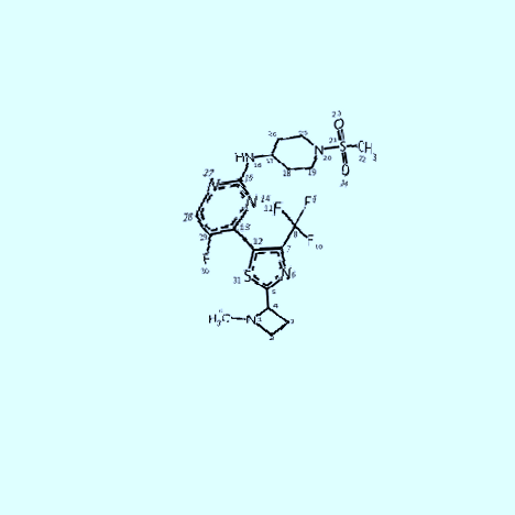 CN1CCC1c1nc(C(F)(F)F)c(-c2nc(NC3CCN(S(C)(=O)=O)CC3)ncc2F)s1